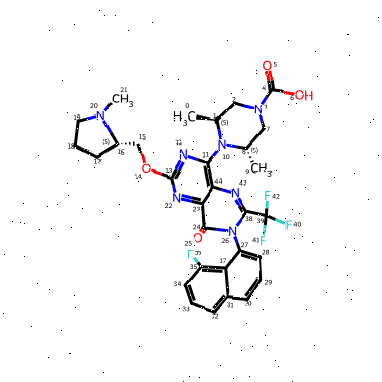 C[C@H]1CN(C(=O)O)C[C@H](C)N1c1nc(OC[C@@H]2CCCN2C)nc2c(=O)n(-c3cccc4cccc(F)c34)c(C(F)(F)F)nc12